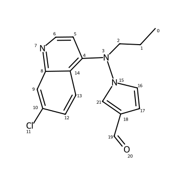 CCCN(c1ccnc2cc(Cl)ccc12)n1ccc(C=O)c1